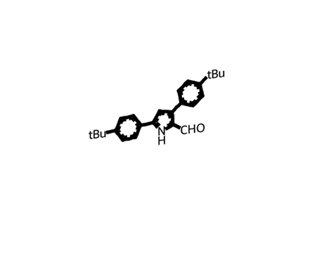 CC(C)(C)c1ccc(-c2cc(-c3ccc(C(C)(C)C)cc3)c(C=O)[nH]2)cc1